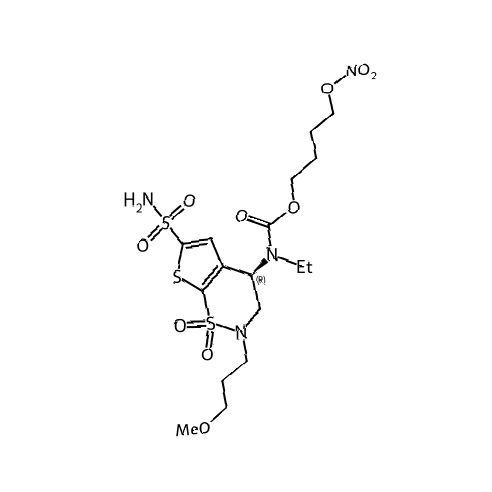 CCN(C(=O)OCCCCO[N+](=O)[O-])[C@H]1CN(CCCOC)S(=O)(=O)c2sc(S(N)(=O)=O)cc21